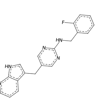 Fc1ccccc1CNc1ncc(Cc2c[nH]c3ncccc23)cn1